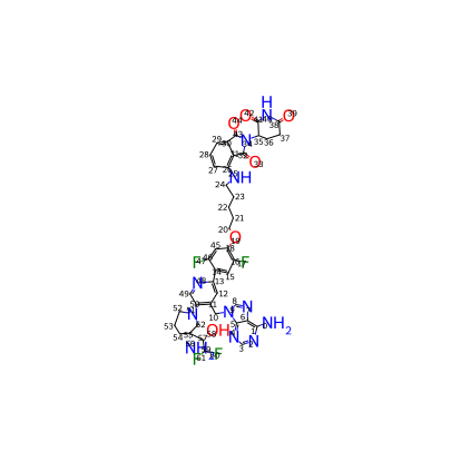 Nc1ncnc2c1ncn2Cc1cc(-c2cc(F)c(OCCCCCNc3cccc4c3C(=O)N(C3CCC(=O)NC3=O)C4=O)cc2F)ncc1N1CCC[C@](N)([C@H](O)C(F)F)C1